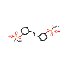 COP(=O)(O)Oc1cccc(C=Cc2cccc(OP(=O)(O)OC)c2)c1